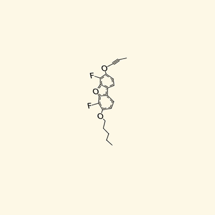 CC#COc1ccc2c(oc3c(F)c(OCCCCC)ccc32)c1F